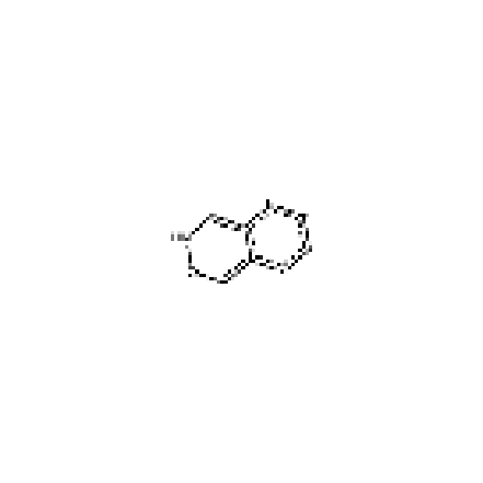 [c]1ccc2c(n1)=CNOC=2